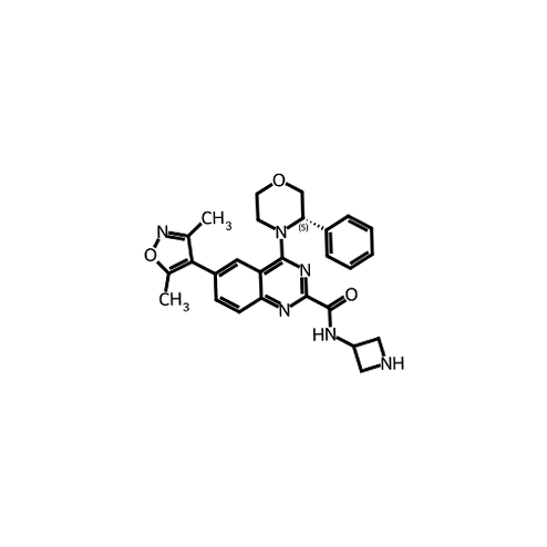 Cc1noc(C)c1-c1ccc2nc(C(=O)NC3CNC3)nc(N3CCOC[C@@H]3c3ccccc3)c2c1